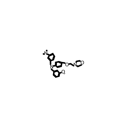 COc1cccc(CN(Cc2cccc(N(C)C)c2)c2ccc(COCCN3CCOCC3)cc2)c1